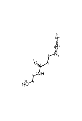 [N-]=[N+]=NCCC(=O)NCCO